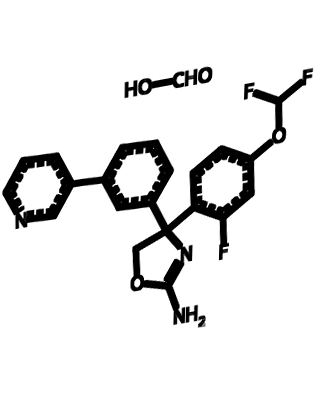 NC1=NC(c2cccc(-c3cccnc3)c2)(c2ccc(OC(F)F)cc2F)CO1.O=CO